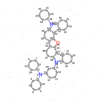 c1ccc(N(c2ccccc2)c2cccc(-n3c4ccccc4c4c5oc6c(ccc7c6c6ccccc6n7-c6ccccc6)c5ccc43)c2)cc1